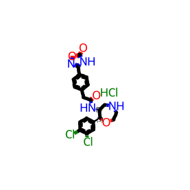 Cl.O=C(Cc1ccc(-c2noc(=O)[nH]2)cc1)N[C@@H]1CNCCO[C@H]1c1ccc(Cl)c(Cl)c1